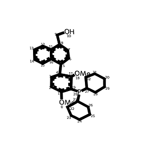 COc1ccc(-c2ccc(CO)c3ccccc23)c(OC)c1P(C1CCCCC1)C1CCCCC1